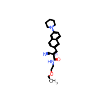 CCOCCNC(=O)/C(C#N)=C/c1ccc2cc(N3CCCCC3)ccc2c1